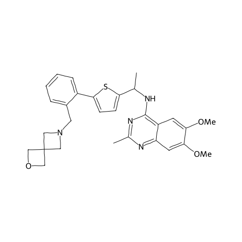 COc1cc2nc(C)nc(NC(C)c3ccc(-c4ccccc4CN4CC5(COC5)C4)s3)c2cc1OC